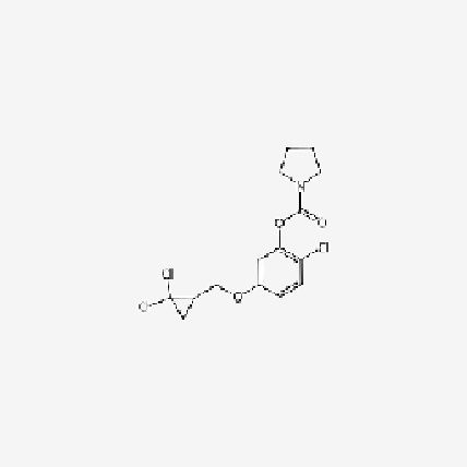 O=C(Oc1cc(OCC2CC2(Cl)Cl)ccc1Cl)N1CCCC1